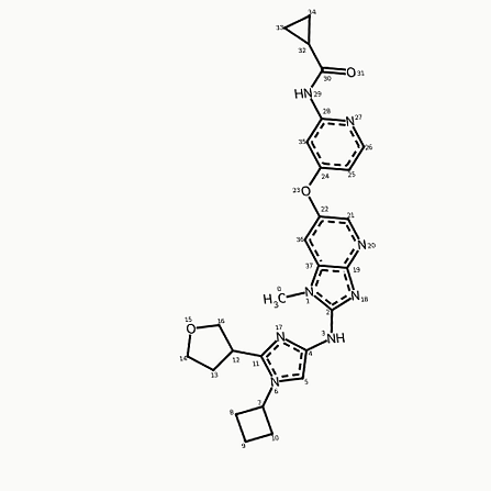 Cn1c(Nc2cn(C3CCC3)c(C3CCOC3)n2)nc2ncc(Oc3ccnc(NC(=O)C4CC4)c3)cc21